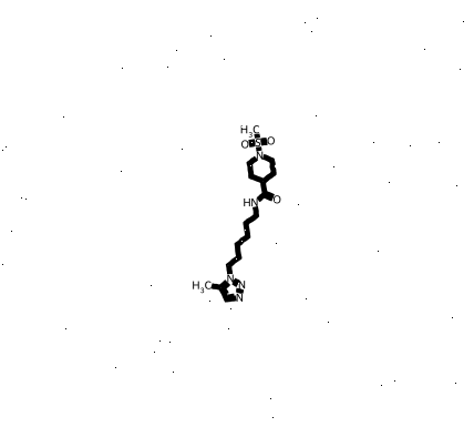 Cc1cnnn1CCCCCCNC(=O)C1CCN(S(C)(=O)=O)CC1